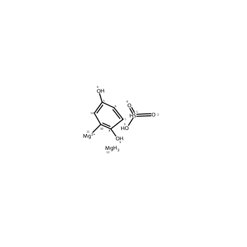 O=[SH](=O)O.Oc1ccc(O)[c]([Mg+2])c1.[MgH2]